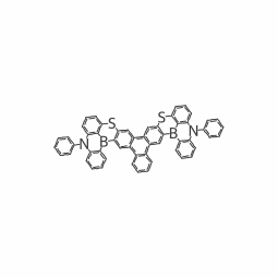 c1ccc(N2c3ccccc3B3c4cc5c6ccccc6c6cc7c(cc6c5cc4Sc4cccc2c43)Sc2cccc3c2B7c2ccccc2N3c2ccccc2)cc1